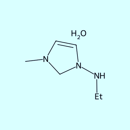 CCNN1C=CN(C)C1.O